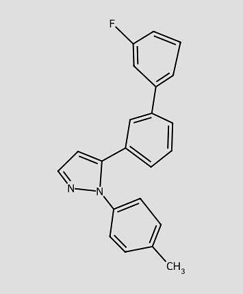 Cc1ccc(-n2nccc2-c2cccc(-c3cccc(F)c3)c2)cc1